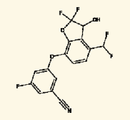 N#Cc1cc(F)cc(Oc2ccc(C(F)F)c3c2OC(F)(F)C3O)c1